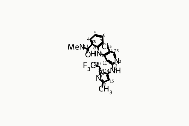 CNC(=O)c1ccccc1Nc1cc(Nc2cc(C)nn2CC(F)(F)F)ncc1Cl